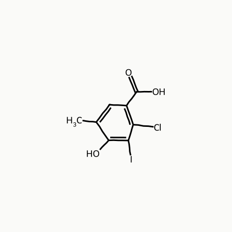 Cc1cc(C(=O)O)c(Cl)c(I)c1O